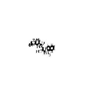 C[C@@H]([C@H](O)CNC(=O)c1cnc2c(c1)NC(=O)CO2)N1CCc2ccccc2C1